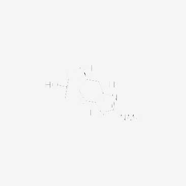 CNC1=N[C@@H]2C[C@H](O)[C@@H](C(C)(O)C(F)(F)F)O[C@@H]2S1